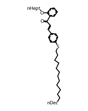 CCCCCCCCCCCCCCCCCCCCCCSc1ccc(C=CC(=O)c2ccccc2OCCCCCCC)cc1